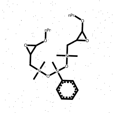 CCCOC1OC1C[Si](C)(C)O[Si](C)(O[Si](C)(C)CC1OC1OCCC)c1ccccc1